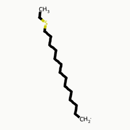 [CH2]CCCCCCCCCCCCCSCC